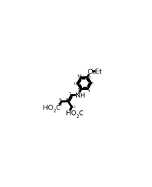 CCOc1ccc(NC=C(CC(=O)O)CC(=O)O)cc1